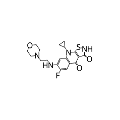 O=c1[nH]sc2c1c(=O)c1cc(F)c(NCCN3CCOCC3)cc1n2C1CC1